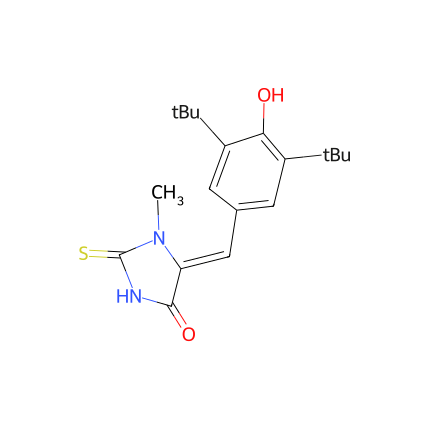 CN1C(=S)NC(=O)C1=Cc1cc(C(C)(C)C)c(O)c(C(C)(C)C)c1